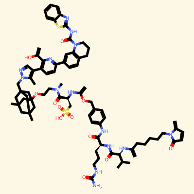 C=C(CCCCCN1C(=C)C=CC1=O)N[C@H](C(=O)N[C@@H](CCCNC(N)=O)C(=O)Nc1ccc(COC(=C)N[C@@H](CS(=O)(=O)O)C(=O)N(C)CCOC23CC4(C)CC(C)(CC(Cn5ncc(-c6ccc(-c7ccc8c(c7)N(C(=O)Nc7nc9ccccc9s7)CCC8)nc6C(=C)O)c5C)(C4)C2)C3)cc1)C(C)C